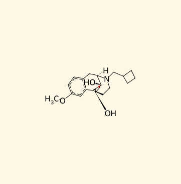 COc1ccc2c(c1)[C@]13CCN(CC4CCC4)[C@H](C2)[C@]1(O)CC[C@@H](O)C3